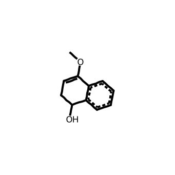 COC1=CCC(O)c2ccccc21